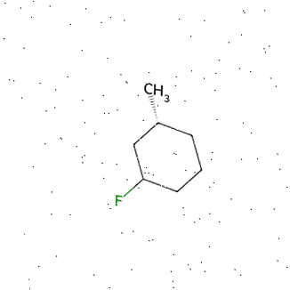 C[C@@H]1CCCC(F)C1